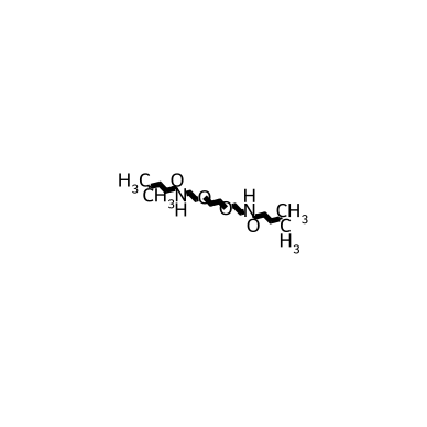 CC(C)CCC(=O)NCCOCCOCCNC(=O)CCC(C)C